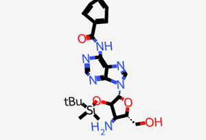 CC(C)(C)[Si](C)(C)OC1C(N)[C@@H](CO)O[C@H]1n1cnc2c(NC(=O)c3ccccc3)ncnc21